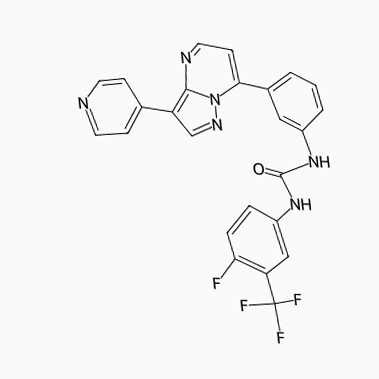 O=C(Nc1cccc(-c2ccnc3c(-c4ccncc4)cnn23)c1)Nc1ccc(F)c(C(F)(F)F)c1